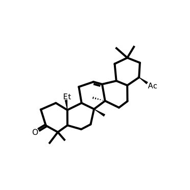 CC[C@]12CCC(=O)C(C)(C)C1CC[C@]1(C)C2CC=C2C3CC(C)(C)C[C@@H](C(C)=O)C3CC[C@]21C